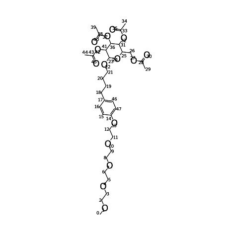 COCCOCCOCCOCCOc1ccc(CCCCOC2OC(COC(C)=O)C(OC(C)=O)C(OC(C)=O)C2OC(C)=O)cc1